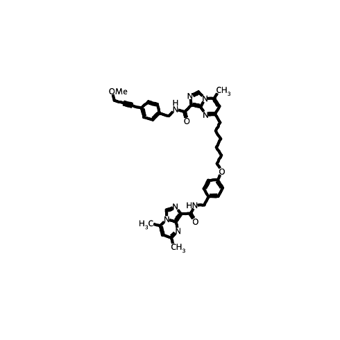 COCC#Cc1ccc(CNC(=O)c2ncn3c(C)cc(CCCCCCOc4ccc(CNC(=O)c5ncn6c(C)cc(C)nc56)cc4)nc23)cc1